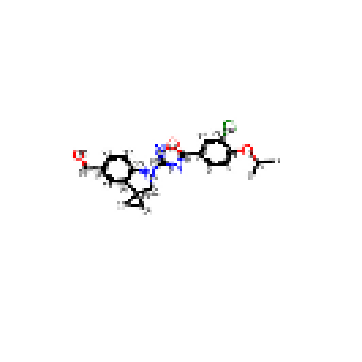 CC(C)Oc1ccc(-c2nc(N3CC4(CC4)c4cc(C=O)ccc43)no2)cc1Cl